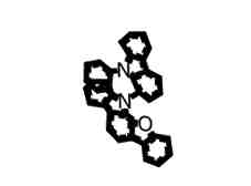 c1ccc(-n2c3ccccc3c3cccc(-n4c5ccccc5c5ccc6c7ccccc7oc6c54)c32)cc1